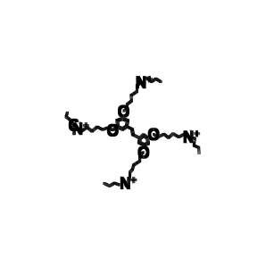 CCCC[N+](C)(C)CCCCCCOc1cc(/C=C/c2cc(OCCCCCC[N+](C)(C)CCCC)cc(OCCCCCC[N+](C)(C)CCCC)c2)cc(OCCCCCC[N+](C)(C)CCCC)c1